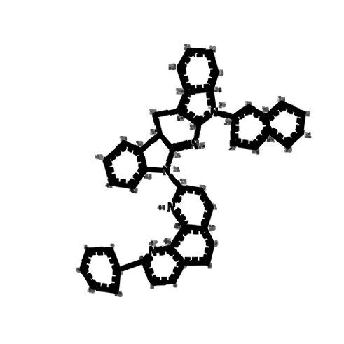 c1ccc(-c2ccc3ccc4ccc(N5C6=Nc7c(c8ccccc8n7-c7ccc8ccccc8c7)CC6c6ccccc65)nc4c3n2)cc1